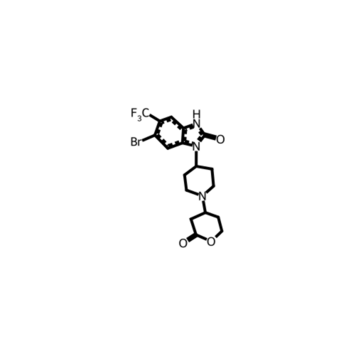 O=C1CC(N2CCC(n3c(=O)[nH]c4cc(C(F)(F)F)c(Br)cc43)CC2)CCO1